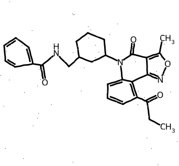 CCC(=O)c1cccc2c1c1noc(C)c1c(=O)n2C1CCCC(CNC(=O)c2ccccc2)C1